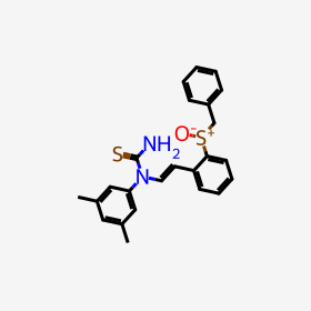 Cc1cc(C)cc(N(C=Cc2ccccc2[S+]([O-])Cc2ccccc2)C(N)=S)c1